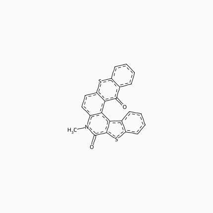 Cn1c(=O)c2sc3ccccc3c2c2c3c(=O)c4ccccc4sc3ccc21